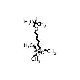 CCO[Si](CCCCCCOCC(C)(C)I)(OCC)OCC